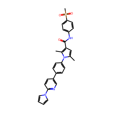 Cc1cc(C(=O)Nc2ccc(S(C)(=O)=O)cc2)c(C)n1-c1ccc(-c2ccc(-n3cccc3)nc2)cc1